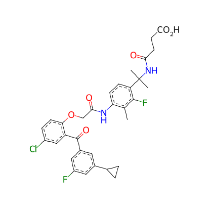 Cc1c(NC(=O)COc2ccc(Cl)cc2C(=O)c2cc(F)cc(C3CC3)c2)ccc(C(C)(C)NC(=O)CCC(=O)O)c1F